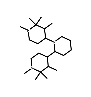 CC1C(C2CCCCN2C2CCN(C)C(C)(C)C2C)CCN(C)C1(C)C